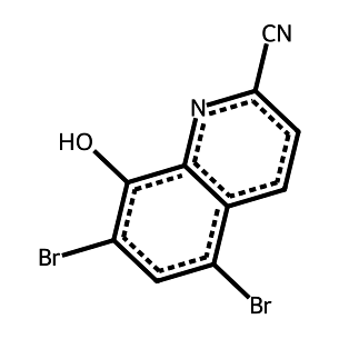 N#Cc1ccc2c(Br)cc(Br)c(O)c2n1